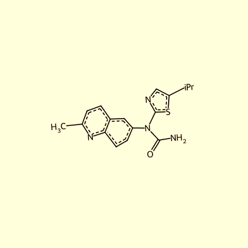 Cc1ccc2cc(N(C(N)=O)c3ncc(C(C)C)s3)ccc2n1